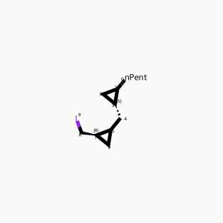 CCCCCC1C[C@H]1CC1C[C@H]1CI